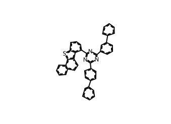 c1ccc(-c2ccc(-c3nc(-c4cccc(-c5ccccc5)c4)nc(-c4cccc5sc6c7ccccc7ccc6c45)n3)cc2)cc1